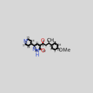 COc1ccc([C@@H](C)CC(=O)c2cc(-c3ccncc3)n[nH]c2=O)cc1